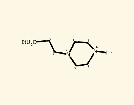 CCOC(=O)CCN1CCN(I)CC1